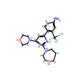 Nc1cc(C(F)(F)F)c(-c2cc(N3CCOCC3)nc(N3CCCOCC3)n2)cn1